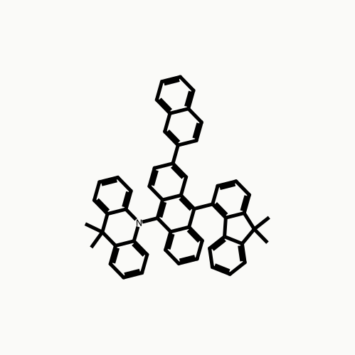 CC1(C)c2ccccc2N(c2c3ccccc3c(-c3cccc4c3-c3ccccc3C4(C)C)c3cc(-c4ccc5ccccc5c4)ccc23)c2ccccc21